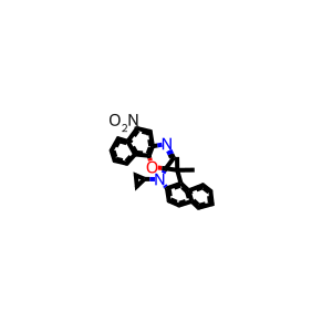 CC1(C)c2c(ccc3ccccc23)N(C2CC2)C12C=Nc1cc([N+](=O)[O-])c3ccccc3c1O2